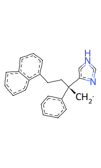 [CH2][C@](CCc1cccc2ccccc12)(c1ccccc1)c1c[nH]cn1